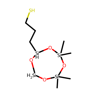 C[Si]1(C)O[SiH2]O[SiH](CCCS)O[Si](C)(C)O1